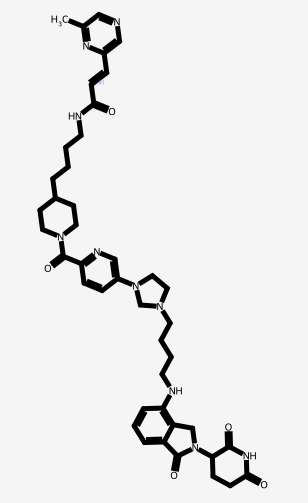 Cc1cncc(/C=C/C(=O)NCCCCC2CCN(C(=O)c3ccc(N4CCN(CCCCNc5cccc6c5CN(C5CCC(=O)NC5=O)C6=O)C4)cn3)CC2)n1